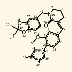 COc1cc(C=C2CCCN(Cc3ccc4c(c3)OC(F)(F)O4)C2=O)ccc1-n1cnc(C)c1